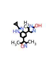 Cc1nc(O)ncc1-c1cc(-c2c(C)noc2C)cc2[nH]c(C3CC3)nc12